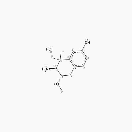 CO[C@H]1Cc2ccc(O)cc2C(C)(C)[C@@H]1N.Cl